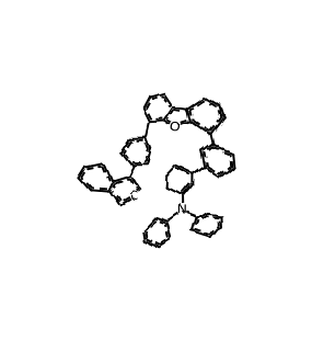 C1=C(c2cccc(-c3cccc4c3oc3c(-c5ccc(-c6cccc7ccccc67)cc5)cccc34)c2)C=C(N(c2ccccc2)c2ccccc2)CC1